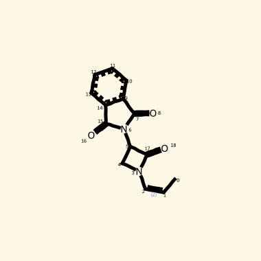 C/C=C\N1CC(N2C(=O)c3ccccc3C2=O)C1=O